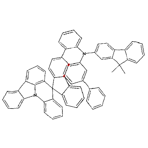 CC1(C)c2ccccc2-c2ccc(N(c3cccc(-c4ccccc4)c3)c3ccccc3-c3ccc4c(c3)-c3ccccc3C43c4ccccc4-n4c5ccccc5c5cccc3c54)cc21